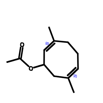 CC(=O)OC1/C=C(/C)CC/C=C(/C)C1